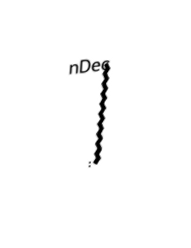 [C]=CC=CCCCCCCCCCCCCCCCCCCCCCCCCCC